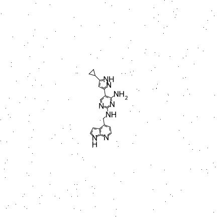 Nc1nc(NCc2ccnc3[nH]ccc23)ncc1-c1cc(C2CC2)[nH]n1